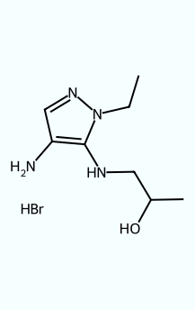 Br.CCn1ncc(N)c1NCC(C)O